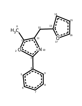 Cc1oc(-c2ccccc2)nc1Cc1ccco1